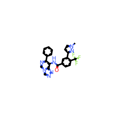 Cn1ccc(-c2cc(C(=O)Nc3c(-c4ccccc4)ncn4cnnc34)ccc2C(F)(F)F)n1